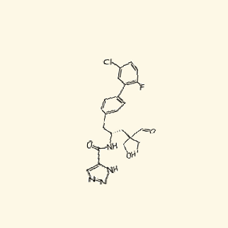 CCC(C=O)(CO)C[C@@H](Cc1ccc(-c2cc(Cl)ccc2F)cc1)NC(=O)c1cnn[nH]1